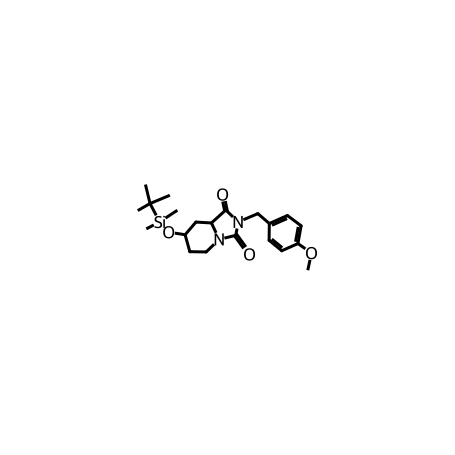 COc1ccc(CN2C(=O)C3CC(O[Si](C)(C)C(C)(C)C)CCN3C2=O)cc1